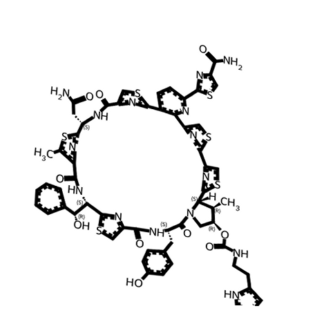 Cc1sc2nc1C(=O)N[C@@H]([C@H](O)c1ccccc1)c1nc(cs1)C(=O)N[C@@H](Cc1ccc(O)cc1)C(=O)N1C[C@H](OC(=O)NCCc3cnc[nH]3)[C@H](C)[C@H]1c1nc(cs1)-c1nc(cs1)-c1nc(-c3nc(C(N)=O)cs3)ccc1-c1nc(cs1)C(=O)N[C@H]2CC(N)=O